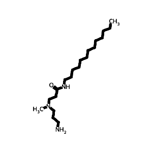 CCCCCCCCCCCCCNC(=O)CCN(C)CCCN